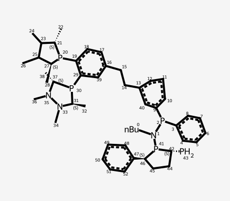 CCCCN(P(c1ccccc1)c1cccc(CCc2ccc(P3[C@@H](C)C(C)C(C)[C@@H]3C)c(P3[C@@H](C)N(C)N(C)[C@@H]3C)c2)c1)P1[C@H](P)CC[C@H]1c1ccccc1